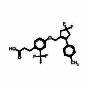 Cc1ccc(C2=C(COc3ccc(CCC(=O)O)c(C(F)(F)F)c3)CC(F)(F)C2)cc1